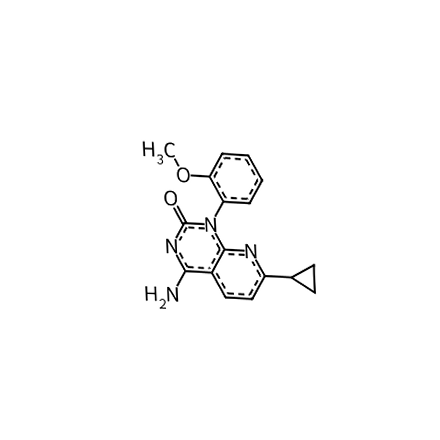 COc1ccccc1-n1c(=O)nc(N)c2ccc(C3CC3)nc21